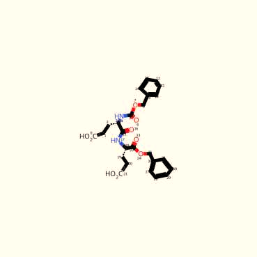 O=C(O)CC[C@H](NC(=O)OCc1ccccc1)C(=O)N[C@@H](CCC(=O)O)C(=O)OCc1ccccc1